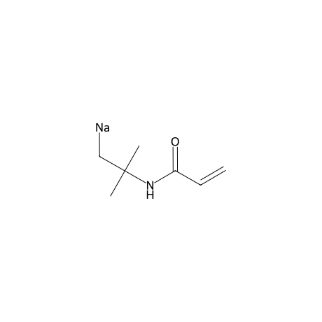 C=CC(=O)NC(C)(C)[CH2][Na]